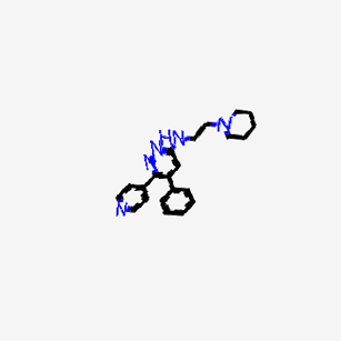 c1ccc(-c2cc(NCCN3CCCCC3)nnc2-c2ccncc2)cc1